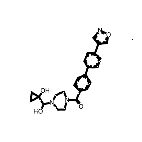 O=C(c1ccc(-c2ccc(-c3cnoc3)cc2)cc1)N1CCN(C(O)C2(O)CC2)CC1